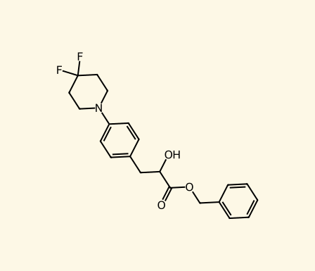 O=C(OCc1ccccc1)C(O)Cc1ccc(N2CCC(F)(F)CC2)cc1